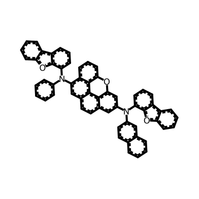 c1ccc(N(c2cc3ccc4cc(N(c5ccc6ccccc6c5)c5cccc6c5oc5ccccc56)cc5c4c3c3c(cccc23)O5)c2cccc3c2oc2ccccc23)cc1